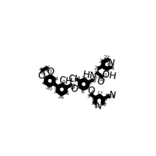 Cc1c(COc2cc(OCc3cncc(C#N)c3)c(CN[C@@H](Cc3ccncc3)C(=O)O)cc2Cl)cccc1-c1ccc2c(c1)OCCO2